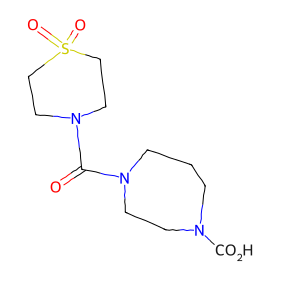 O=C(O)N1CCCN(C(=O)N2CCS(=O)(=O)CC2)CC1